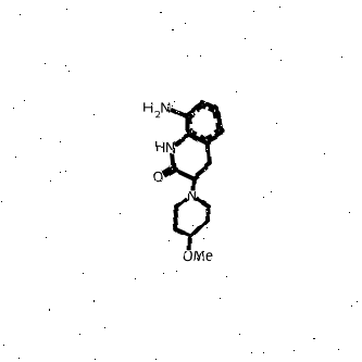 COC1CCN(C2Cc3cccc(N)c3NC2=O)CC1